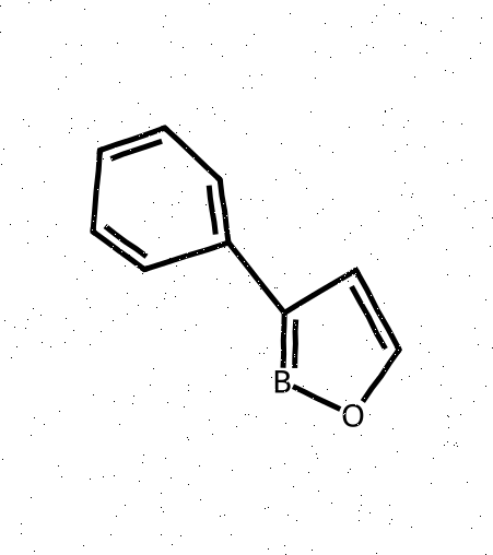 b1occc1-c1ccccc1